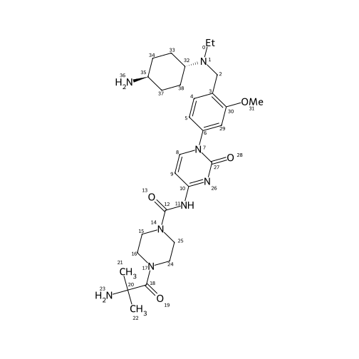 CCN(Cc1ccc(-n2ccc(NC(=O)N3CCN(C(=O)C(C)(C)N)CC3)nc2=O)cc1OC)[C@H]1CC[C@H](N)CC1